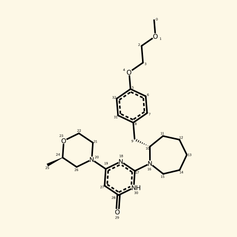 COCCOc1ccc(C[C@@H]2CCCCCN2c2nc(N3CCO[C@H](C)C3)cc(=O)[nH]2)cc1